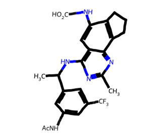 CC(=O)Nc1cc(C(C)Nc2nc(C)nc3c4c(c(NC(=O)O)cc23)CCC4)cc(C(F)(F)F)c1